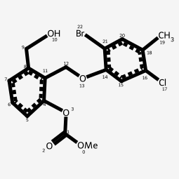 COC(=O)Oc1cccc(CO)c1COc1cc(Cl)c(C)cc1Br